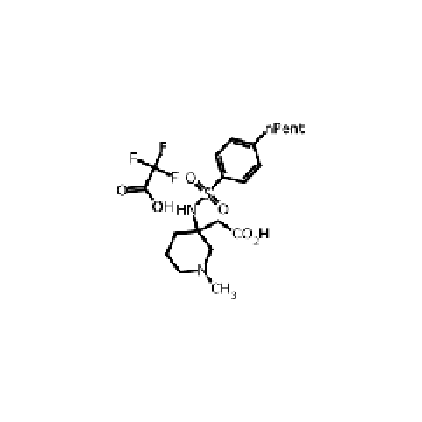 CCCCCc1ccc(S(=O)(=O)NC2(CC(=O)O)CCCN(C)C2)cc1.O=C(O)C(F)(F)F